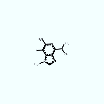 BN(C)c1nc(N)c(I)c2c1ncn2C